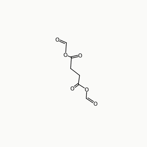 O=COC(=O)CCC(=O)OC=O